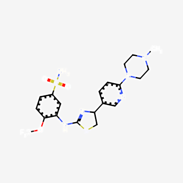 CN1CCN(c2ccc(C3CSC(Nc4cc(S(N)(=O)=O)ccc4OC(F)(F)F)=N3)cn2)CC1